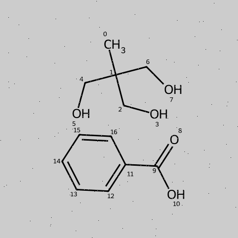 CC(CO)(CO)CO.O=C(O)c1ccccc1